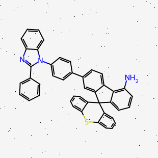 Nc1cccc2c1-c1ccc(-c3ccc(-n4c(-c5ccccc5)nc5ccccc54)cc3)cc1C21c2ccccc2Sc2ccccc21